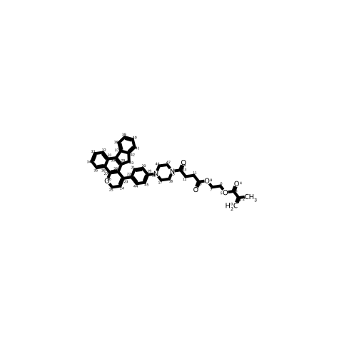 C=C(C)C(=O)OCCOC(=O)CCC(=O)N1CCN(c2ccc(C3=CCOc4c3c3c(c5ccccc45)-c4ccccc4C3)cc2)CC1